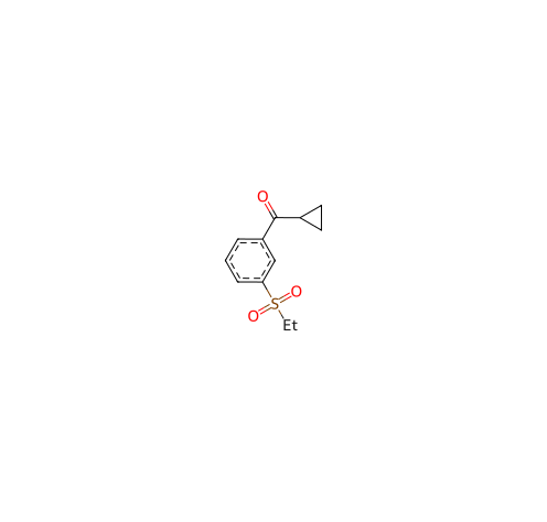 CCS(=O)(=O)c1cccc(C(=O)C2CC2)c1